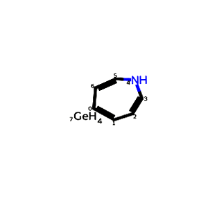 C1=CC=CNC=C1.[GeH4]